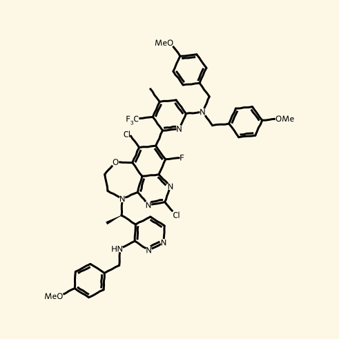 COc1ccc(CNc2nnccc2[C@@H](C)N2CCOc3c(Cl)c(-c4nc(N(Cc5ccc(OC)cc5)Cc5ccc(OC)cc5)cc(C)c4C(F)(F)F)c(F)c4nc(Cl)nc2c34)cc1